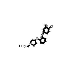 O=C(O)CN1CCC(Oc2ccccc2Sc2ccc(Cl)c(Cl)c2)CC1